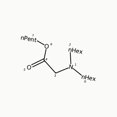 CCCCCCN(CCCCCC)CC(=O)OCCCCC